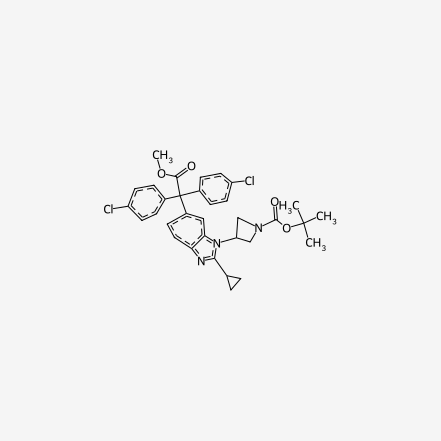 COC(=O)C(c1ccc(Cl)cc1)(c1ccc(Cl)cc1)c1ccc2nc(C3CC3)n(C3CN(C(=O)OC(C)(C)C)C3)c2c1